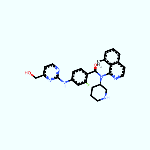 Cc1cccc2ccnc(N(C(=O)c3ccc(Nc4nccc(CO)n4)cc3F)[C@@H]3CCCNC3)c12